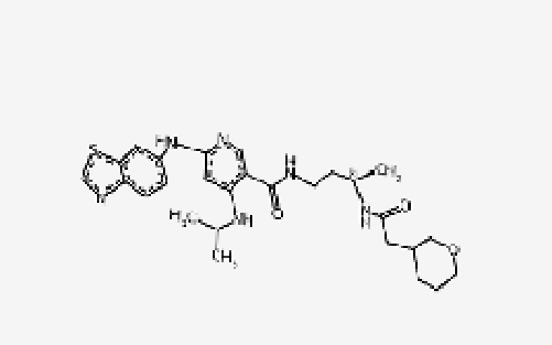 CC(C)Nc1cc(Nc2ccc3ncsc3c2)ncc1C(=O)NCC[C@@H](C)NC(=O)CC1CCCOC1